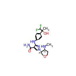 CN[C@H]1CCOC[C@@H]1n1cc(C(N)=O)c(Nc2ccc([C@@](C)(O)C(F)F)cc2)n1